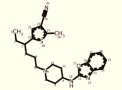 CCC(CCCN1CCC(Nc2nc3ccccc3o2)CC1)c1cc(C#N)c(C)s1